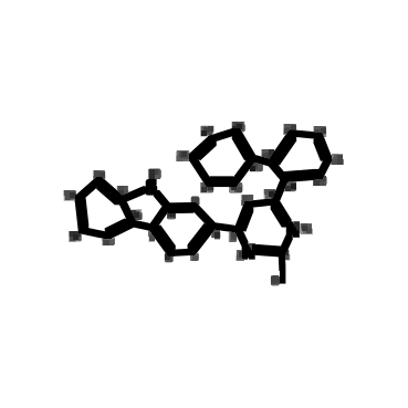 Ic1nc(-c2ccc3c(c2)sc2ccccc23)cc(-c2ccccc2-c2ccccc2)n1